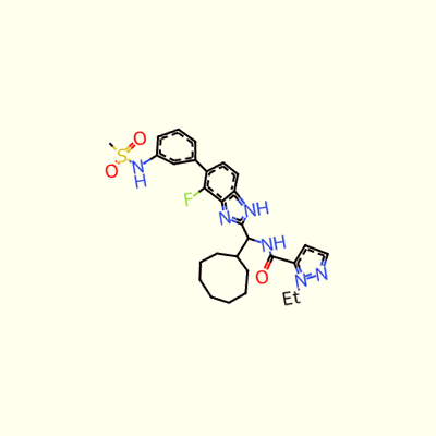 CCn1nccc1C(=O)NC(c1nc2c(F)c(-c3cccc(NS(C)(=O)=O)c3)ccc2[nH]1)C1CCCCCCC1